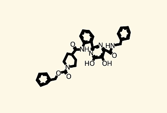 O=C(NCc1ccccc1)c1nc(-c2ccccc2NC(=O)C2CCN(C(=O)OCc3ccccc3)CC2)nc(O)c1O